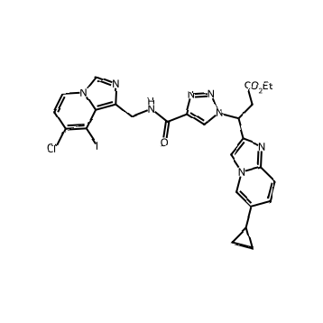 CCOC(=O)CC(c1cn2cc(C3CC3)ccc2n1)n1cc(C(=O)NCc2ncn3ccc(Cl)c(I)c23)nn1